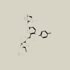 Cc1ccc(Sc2ccc(Sc3nnc[nH]3)nc2C(=O)Nc2nc(CO)ns2)cc1